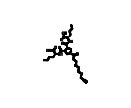 C#CCOCCOCCC(=O)N1C[C@@H](C(=O)N[C@@H](CCCC)C(=O)O)[C@H](C(=O)N[C@@H](CCCC)C(=O)O)C1